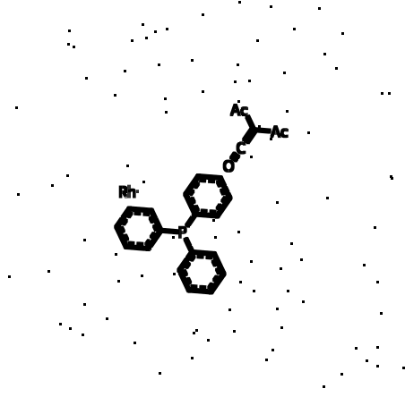 CC(=O)C(=C=O)C(C)=O.[Rh].c1ccc(P(c2ccccc2)c2ccccc2)cc1